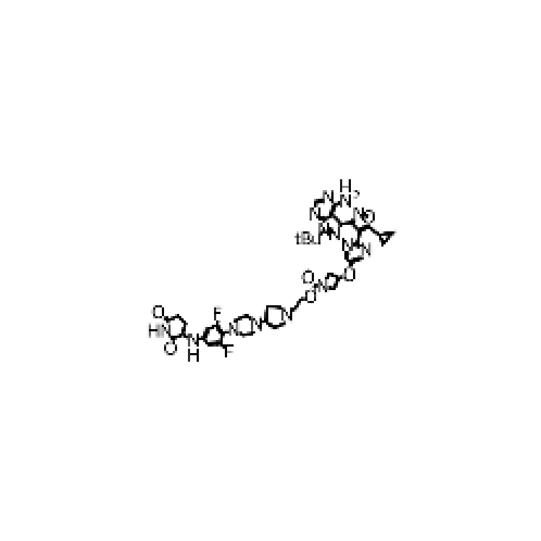 CC(C)(C)n1nc(-c2noc(C3CC3)c2-c2ncc(OC3CN(C(=O)OCCN4CCC(N5CCN(c6c(F)cc(NC7CCC(=O)NC7=O)cc6F)CC5)CC4)C3)cn2)c2c(N)ncnc21